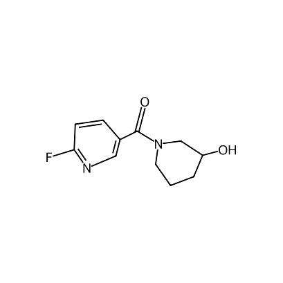 O=C(c1ccc(F)nc1)N1CCCC(O)C1